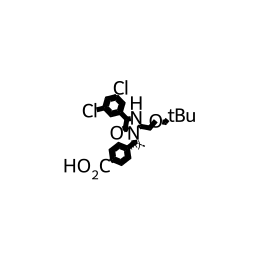 C[C@H](c1ccc(C(=O)O)cc1)N1C(=O)C(c2cc(Cl)cc(Cl)c2)NC1COCC(C)(C)C